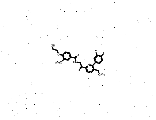 COCc1ccc(C(=O)CNC(=O)c2ccc(OCCO)c(OC)c2)nc1-c1ccc(F)c(Cl)c1